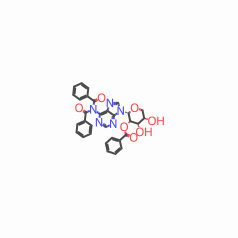 O=C(O[C@@H]1[C@H](O)[C@H](O)CO[C@H]1n1cnc2c(N(C(=O)c3ccccc3)C(=O)c3ccccc3)ncnc21)c1ccccc1